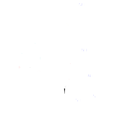 CCC[C@@H](Nc1ncc2n(c1=O)[C@H](C(=O)NCc1cc3c(s1)CNC3)CC2)c1ccccc1.O=C(O)C(F)(F)F